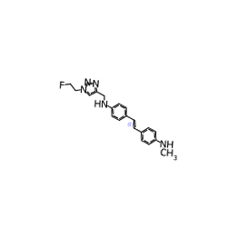 CNc1ccc(/C=C/c2ccc(NCc3cn(CCF)nn3)cc2)cc1